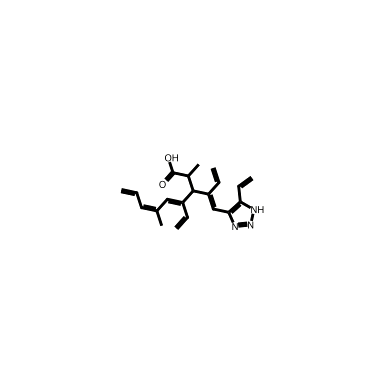 C=C/C=C(C)\C=C(/C=C)C(/C(C=C)=C/c1nn[nH]c1C=C)C(C)C(=O)O